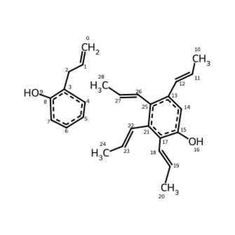 C=CCc1ccccc1O.CC=Cc1cc(O)c(C=CC)c(C=CC)c1C=CC